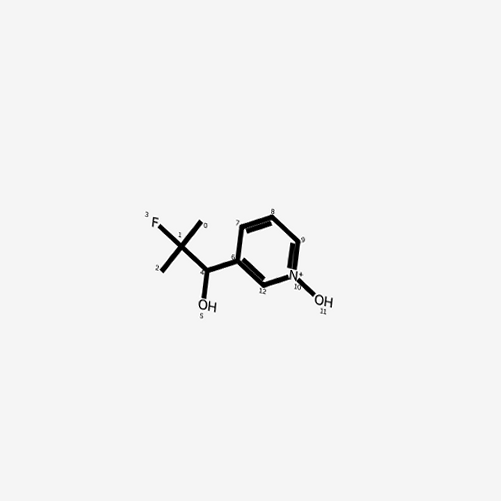 CC(C)(F)C(O)c1ccc[n+](O)c1